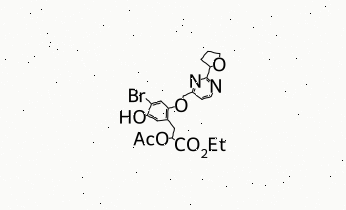 CCOC(=O)C(Cc1cc(O)c(Br)cc1OCc1ccnc(C2CCCO2)n1)OC(C)=O